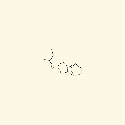 CCC(C)OC1CC2C3CCC(C3)C2C1